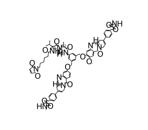 CNS(=O)(=O)c1ccc(C2=CCN3C(=O)c4ccc(OCc5cc(COc6cc7c(cc6OC)C(=O)N6CC=C(c8ccc(S(=O)(=O)NC)cc8)C[C@H]6C=N7)cc(NC(=O)[C@H](C)NC(=O)[C@@H](NC(=O)CCCCCN6C(=O)C=CC6=O)C(C)C)c5)cc4N=C[C@@H]3C2)cc1